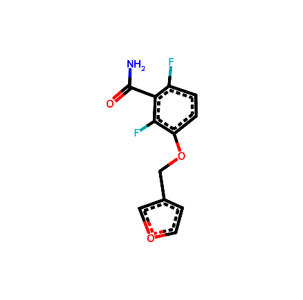 NC(=O)c1c(F)ccc(OCc2ccoc2)c1F